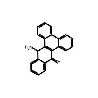 NC1c2ccccc2C(=O)c2c1c1ccccc1c1ccccc21